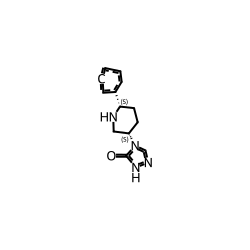 O=c1[nH]ncn1[C@H]1CC[C@@H](c2ccccc2)NC1